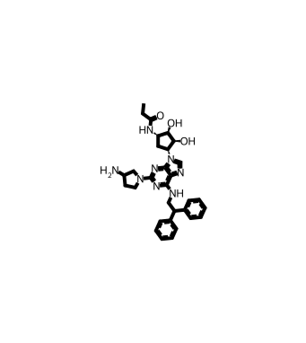 CCC(=O)N[C@H]1C[C@@H](n2cnc3c(NCC(c4ccccc4)c4ccccc4)nc(N4CCC(N)C4)nc32)[C@H](O)[C@@H]1O